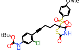 COc1ccc(S(=O)(=O)C2(CCCC#Cc3ccc(NC(=O)OC(C)(C)C)cc3Cl)SC(=O)NC2=O)cc1